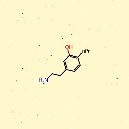 CCCc1ccc(CCN)cc1O